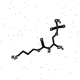 CCCCOC(=O)NC(C)COS(C)(=O)=O